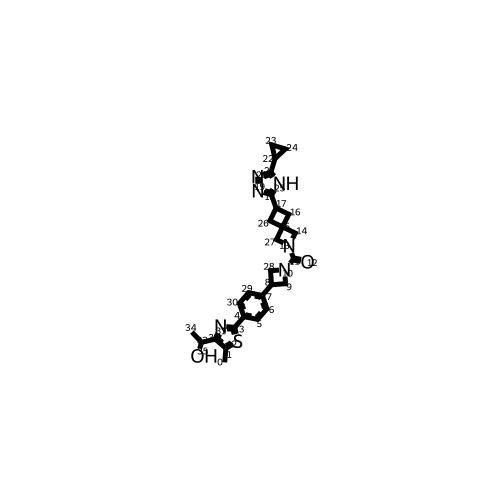 Cc1sc(-c2ccc(C3CN(C(=O)N4CC5(CC(c6nnc(C7CC7)[nH]6)C5)C4)C3)cc2)nc1C(C)O